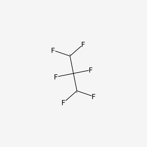 F[C](F)C(F)(F)[C](F)F